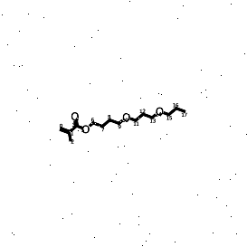 C=C(C)C(=O)OCCCCOCCCOCCC